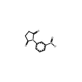 O=C1CCC(=O)N1c1cccc([N+](=O)[O-])c1